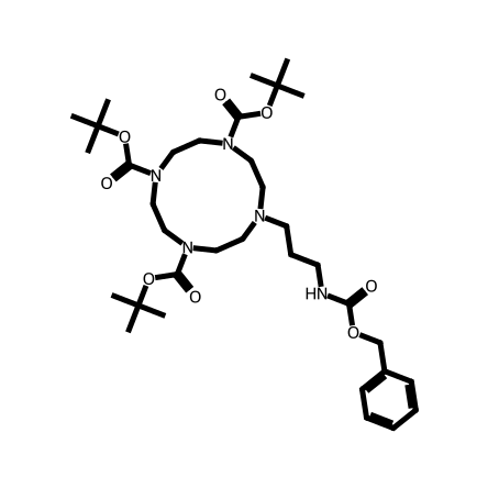 CC(C)(C)OC(=O)N1CCN(CCCNC(=O)OCc2ccccc2)CCN(C(=O)OC(C)(C)C)CCN(C(=O)OC(C)(C)C)CC1